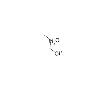 CCCO.O